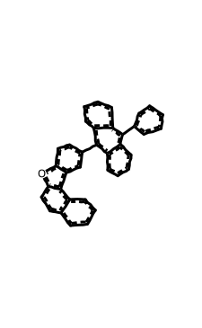 c1ccc(-c2c3ccccc3c(-c3ccc4oc5ccc6ccccc6c5c4c3)c3ccccc23)cc1